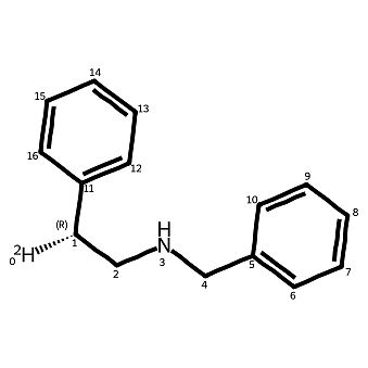 [2H][C@@H](CNCc1ccccc1)c1ccccc1